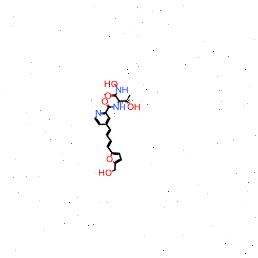 C[C@@H](O)[C@H](NC(=O)c1cc(C=CC=Cc2ccc(CO)o2)ccn1)C(=O)NO